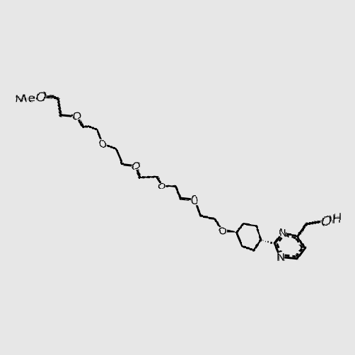 COCCOCCOCCOCCOCCOCCO[C@H]1CC[C@H](c2nccc(CO)n2)CC1